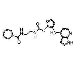 O=C(NCCNC(=O)c1ccccc1)Oc1sccc1Nc1ccnc2[nH]ccc12